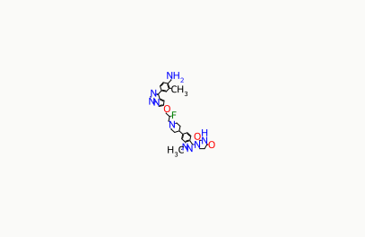 Cc1cc(-c2ncnn3cc(OCC(F)CN4CCC(c5ccc6c(N7CCC(=O)NC7=O)nn(C)c6c5)CC4)cc23)ccc1CN